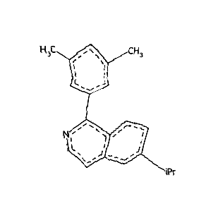 Cc1cc(C)cc(-c2nccc3cc(C(C)C)ccc23)c1